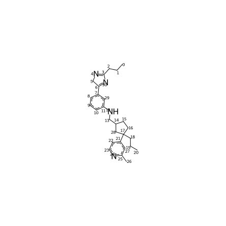 CCCC1=NCC(c2cccc(NCC3CCC(CCC)(c4ccnc(C)c4)C3)c2)=N1